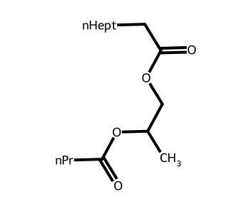 CCCCCCCCC(=O)OCC(C)OC(=O)CCC